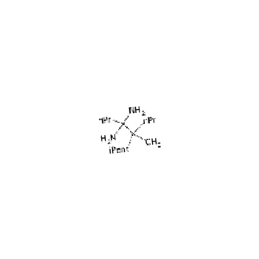 CCCC(C)C(C)(CCC)C(N)(N)CCC